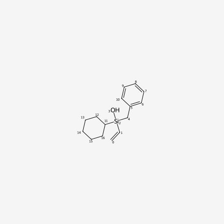 C=C[Si](O)(Cc1ccccc1)C1CCCCC1